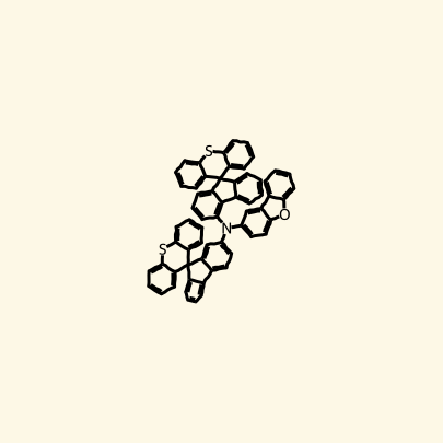 c1ccc2c(c1)Sc1ccccc1C21c2ccccc2-c2ccc(N(c3ccc4oc5ccccc5c4c3)c3cccc4c3-c3ccccc3C43c4ccccc4Sc4ccccc43)cc21